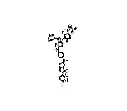 CCCS(=O)(=O)Nc1ccc(F)c(-n2cc(-c3cncnc3)c3nc(N(C)c4ccc(Bc5ccc6c(c5)C(=O)N(C5CCC(=O)NC5=O)C6)cc4)ccc32)c1F